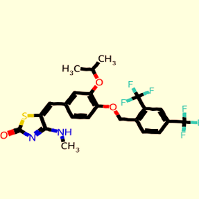 CNC1=NC(=O)SC1=Cc1ccc(OCc2ccc(C(F)(F)F)cc2C(F)(F)F)c(OC(C)C)c1